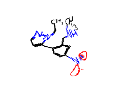 CCn1nccc1-c1ccc([N+](=O)[O-])cc1CNC